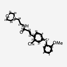 COc1ccccc1Sc1ccc(/C=C/C(=O)NCCN2CCOCC2)c(Cl)c1